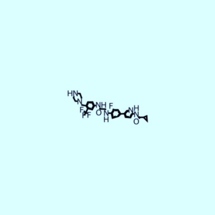 O=C(CNc1ccc(-c2ccc(NC(=O)C3CC3)nc2)cc1F)Nc1ccc(CN2CCNCC2)c(C(F)(F)F)c1